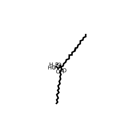 CCCCCCCCC=CCCCCCCCCC(OP)(C(=O)CCCCCCCCCCCCCCC)C(O)CO